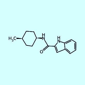 C[C@H]1CC[C@@H](NC(=O)c2cc3ccccc3[nH]2)CC1